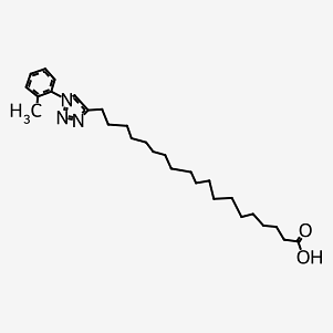 Cc1ccccc1-n1cc(CCCCCCCCCCCCCCCCCCC(=O)O)nn1